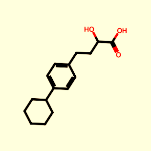 O=C(O)C(O)CCc1ccc(C2CCCCC2)cc1